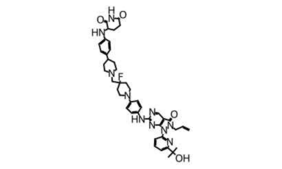 C=CCn1c(=O)c2cnc(Nc3ccc(N4CCC(F)(CN5CCC(c6ccc(NC7CCC(=O)NC7=O)cc6)CC5)CC4)cc3)nc2n1-c1cccc(C(C)(C)O)n1